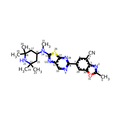 Cc1nc2c(C#N)cc(-c3ncc4nc(N(C)C5CC(C)(C)NC(C)(C)C5)sc4n3)cc2o1